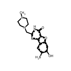 Bc1cc2c(cc1O)oc1c(=O)[nH]c(CN3CCN(C)CC3)nc12